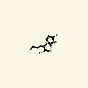 CCCCC(C(=O)O)n1ccc(=O)[nH]c1=O